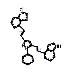 C(=C\c1cccc2[nH]ccc12)/c1cc(/C=C/c2cccc3[nH]ccc23)n(-c2ccccc2)n1